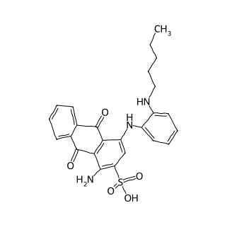 CCCCCNc1ccccc1Nc1cc(S(=O)(=O)O)c(N)c2c1C(=O)c1ccccc1C2=O